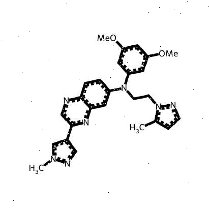 COc1cc(OC)cc(N(CCn2nccc2C)c2ccc3ncc(-c4cnn(C)c4)nc3c2)c1